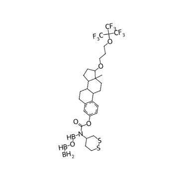 BBOBN(C(=O)Oc1ccc2c(c1)CCC1C2CCC2(C)C(OCCCOC(C(F)(F)F)(C(F)(F)F)C(F)(F)F)CCC12)C1CCSSC1